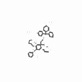 COc1ccc(C(OC[C@H]2O[C@@H](n3c(=O)cc[nH]c3=O)C[C@@H]2OP2O[C@H](C[Si](C)(c3ccccc3)c3ccccc3)[C@@H]3CCCN32)(c2ccccc2)c2ccc(OC)cc2)cc1